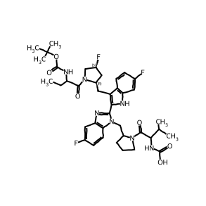 CCC(NC(=O)OC(C)(C)C)C(=O)N1C[C@@H](F)C[C@H]1Cc1c(-c2nc3cc(F)ccc3n2CC2CCCN2C(=O)C(NC(=O)O)C(C)C)[nH]c2cc(F)ccc12